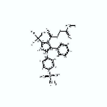 CNC(=O)CCC(=O)c1c(C(F)(F)F)nn(-c2ccc(S(N)(=O)=O)cc2)c1-c1ccccc1